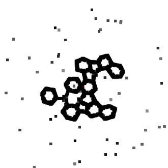 c1ccc(N(c2ccccc2)c2cccc3c4cc5ccccc5c5c6cc7c(nc6n(c23)c45)c2cccc3c4ccc5ccccc5c4n7c32)cc1